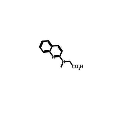 CN(CC(=O)O)c1ccc2ccccc2n1